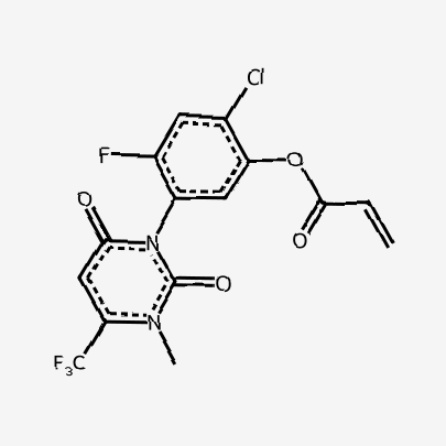 C=CC(=O)Oc1cc(-n2c(=O)cc(C(F)(F)F)n(C)c2=O)c(F)cc1Cl